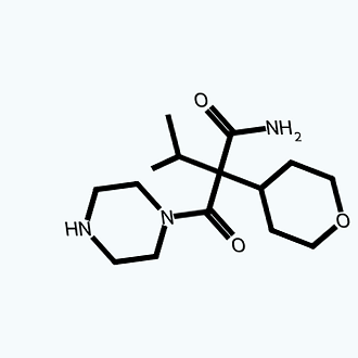 CC(C)C(C(N)=O)(C(=O)N1CCNCC1)C1CCOCC1